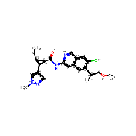 CC[C@@H]1C(c2cnn(C)c2)[C@@H]1C(=O)Nc1cc2cc([C@H](C)COC)c(Cl)cc2cn1